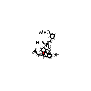 COc1cccc(CCC(=O)N(C)C2CC[C@@]3(O)[C@H]4Cc5ccc(O)c6c5[C@@]3(CCN4CC3CC3)C2O6)c1